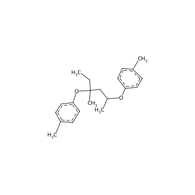 CCC(C)(CC(C)Oc1ccc(C)cc1)Oc1ccc(C)cc1